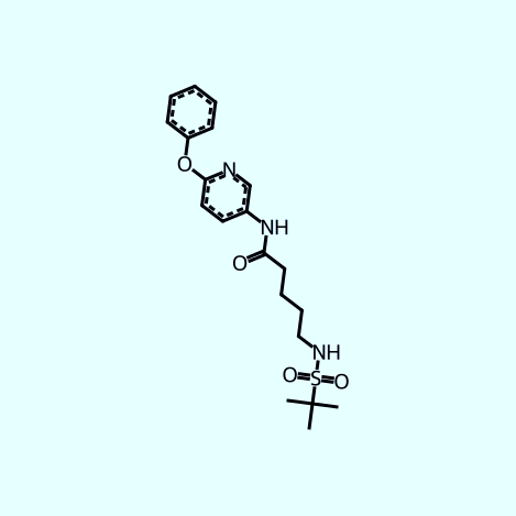 CC(C)(C)S(=O)(=O)NCCCCC(=O)Nc1ccc(Oc2ccccc2)nc1